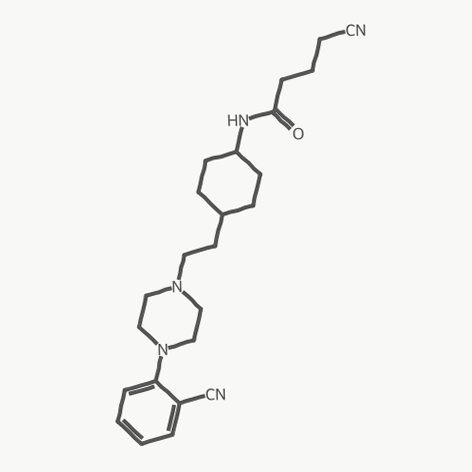 N#CCCCC(=O)NC1CCC(CCN2CCN(c3ccccc3C#N)CC2)CC1